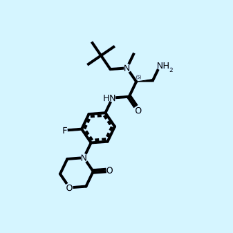 CN(CC(C)(C)C)[C@@H](CN)C(=O)Nc1ccc(N2CCOCC2=O)c(F)c1